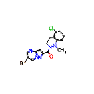 CN1c2cccc(Cl)c2CCN1C(=O)c1cc2ncc(Br)cn2n1